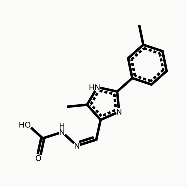 Cc1cccc(-c2nc(/C=N\NC(=O)O)c(C)[nH]2)c1